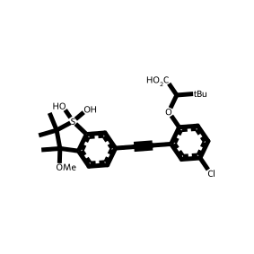 COC1(C)c2ccc(C#Cc3cc(Cl)ccc3OC(C(=O)O)C(C)(C)C)cc2S(O)(O)C1(C)C